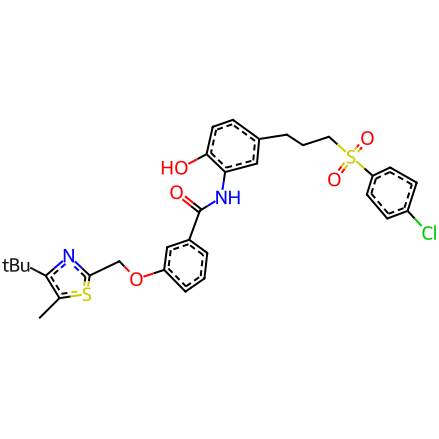 Cc1sc(COc2cccc(C(=O)Nc3cc(CCCS(=O)(=O)c4ccc(Cl)cc4)ccc3O)c2)nc1C(C)(C)C